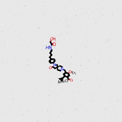 CCOc1cc(C(=O)OC)c(C2CC2)cc1CN1CCC2(CC1)CC(=O)N(c1ccc(CCCCNC(=O)CO)cc1)C2